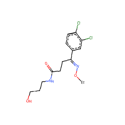 CCON=C(CCC(=O)NCCCO)c1ccc(Cl)c(Cl)c1